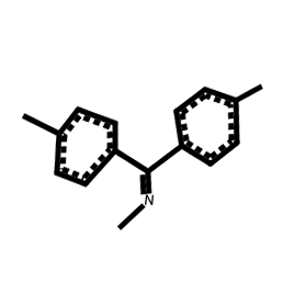 CN=C(c1ccc(C)cc1)c1ccc(C)cc1